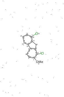 COc1ccc2c(c1Cl)Cc1c(Cl)cccc1-2